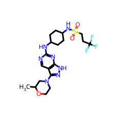 CC1CN(c2n[nH]c3nc(NC4CCC(NS(=O)(=O)CCC(F)(F)F)CC4)ncc23)CCO1